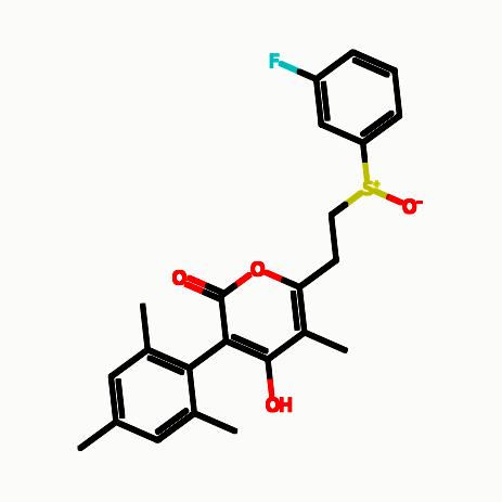 Cc1cc(C)c(-c2c(O)c(C)c(CC[S+]([O-])c3cccc(F)c3)oc2=O)c(C)c1